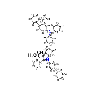 CC1(C)c2ccccc2-c2c1c1cc(-c3ccc(N(c4ccccc4)c4ccc5c(c4)C4(CC4)c4ccccc4-5)cc3)ccc1n2-c1ccc(-c2ccccc2)cc1